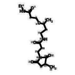 CCNC(=O)CCOC(C)CCNC(=O)CCN1C(=O)CC(C)C1=O